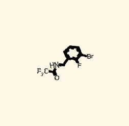 O=C(NCc1cccc(Br)c1F)C(F)(F)F